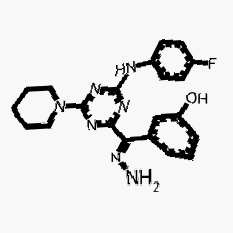 N/N=C(\c1cccc(O)c1)c1nc(Nc2ccc(F)cc2)nc(N2CCCCC2)n1